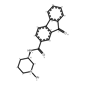 CC(C)N1CCC[C@@H](NC(=O)c2ccc3c(c2)C(=O)c2ccccc2-3)C1